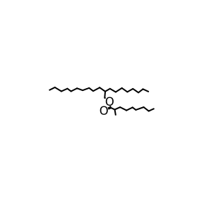 CCCCCCCCCCC(CCCCCCCC)COC(=O)C(C)CCCCCCC